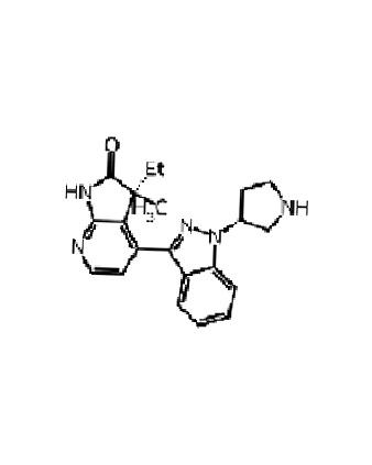 CC[C@@]1(C)C(=O)Nc2nccc(-c3nn([C@H]4CCNC4)c4ccccc34)c21